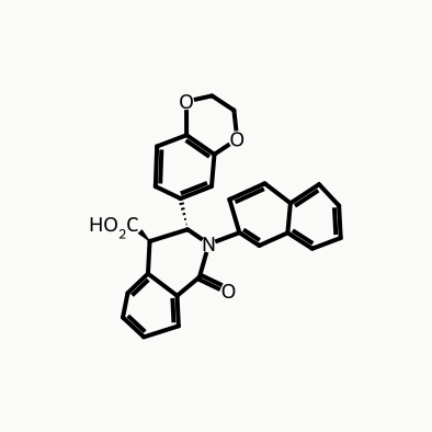 O=C(O)[C@@H]1c2ccccc2C(=O)N(c2ccc3ccccc3c2)[C@H]1c1ccc2c(c1)OCCO2